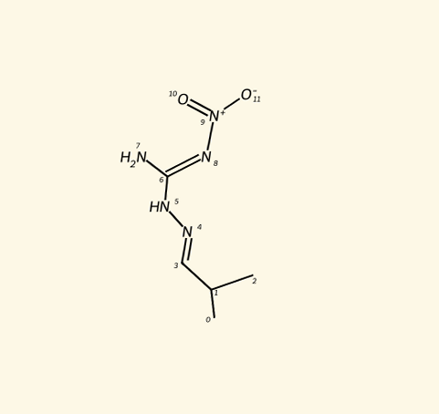 CC(C)C=NNC(N)=N[N+](=O)[O-]